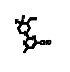 C=CC1CN(c2nc(C)cc(C=O)n2)CCC1(F)F